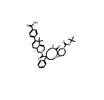 CC(C)(C)OC(=O)N1CCCC2(C1)NCCC(C(=O)N1CC=C3C(C)(C)C(c4ccc(C(=O)O)cc4)=CC[C@]3(C)C1)(c1ccccc1)CCNC2=O